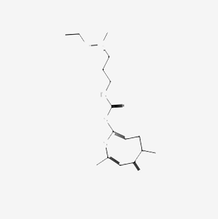 CCO[SiH](C)CCCNC(=O)N/C1=C\CC(C)C(=O)/C=C(/C)N1